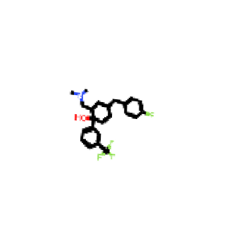 CN(C)CC1CC(Cc2ccc(F)cc2)CCC1(O)c1cccc(C(F)(F)F)c1